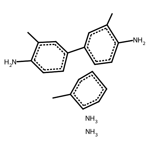 Cc1cc(-c2ccc(N)c(C)c2)ccc1N.Cc1ccccc1.N.N